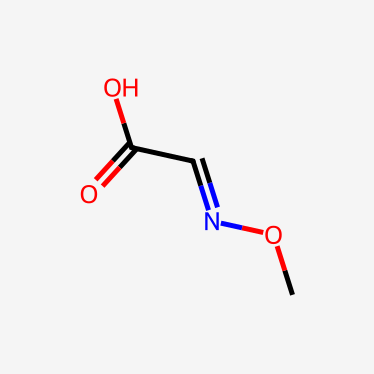 CO/N=C/C(=O)O